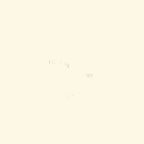 N[C@H]1C[C@@H](C2CC2)N(C(=O)O)c2ccc(C(F)(F)F)cc21